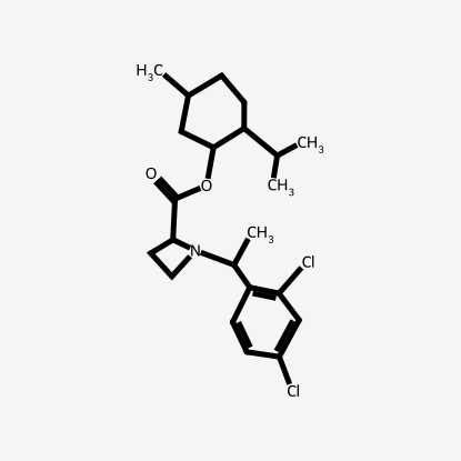 CC1CCC(C(C)C)C(OC(=O)C2CCN2C(C)c2ccc(Cl)cc2Cl)C1